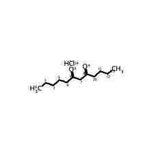 CCCCCC(=O)CC(=O)CCCC.Cl